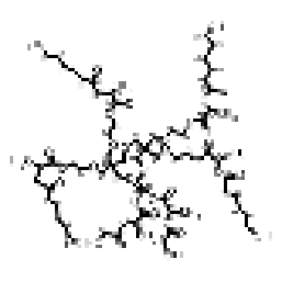 CC(CC(=O)CCCCCO)C(=O)OCCOCC(COCCOC(=O)C(C)CC(=O)CCCCCO)(COCCOC(=O)C(C)OC(=O)CO)COCC(COCCOC(=O)C(C)OC(=O)CO)(COCCOC(=O)C(C)OC(=O)CCCCCO)COCCOC(=O)C(C)OC(=O)CCCCCO